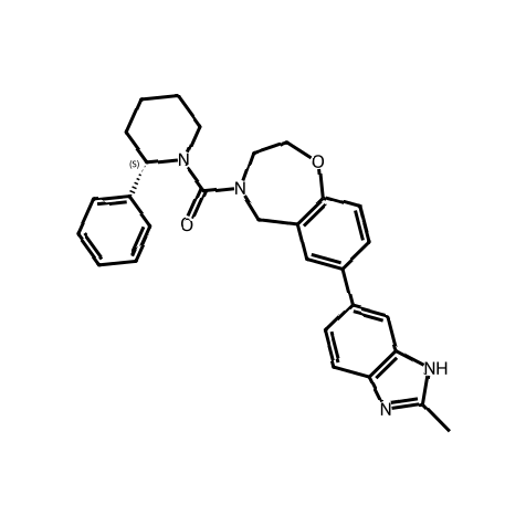 Cc1nc2ccc(-c3ccc4c(c3)CN(C(=O)N3CCCC[C@H]3c3ccccc3)CCO4)cc2[nH]1